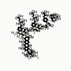 CC(=O)O.CN(Cc1cnc2nc(N)nc(N)c2n1)c1ccc(C(=O)N[C@@H](CCC(=O)O)C(=O)O)cc1.CN(Cc1cnc2nc(N)nc(N)c2n1)c1ccc(C(=O)N[C@@H](CCC(=O)O)C(=O)O)cc1.CO[C@@H]1C[C@](C)(O)Cc2cc3c(c(O)c21)C(=O)c1c(O)cc2c(c1C3=O)O[C@@H]1O[C@@]2(C)[C@H](O)[C@@H](N(C)C)[C@@H]1O.N[C@@H](Cc1ccc(N(CCCl)CCCl)cc1)C(=O)O.Sn1cnc2cncnc21